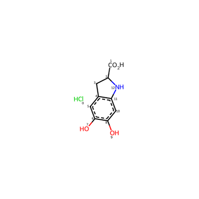 Cl.O=C(O)C1Cc2cc(O)c(O)cc2N1